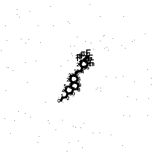 CCCC1CCC2C(CCC3CC(CCc4cc(F)c(C(F)(F)F)c(F)c4)CCC32)C1